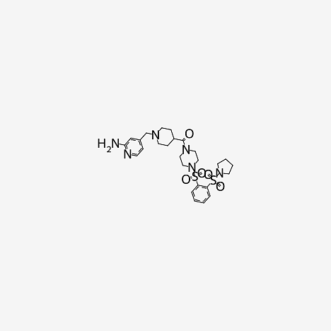 Nc1cc(CN2CCC(C(=O)N3CCN(S(=O)(=O)c4ccccc4S(=O)(=O)N4CCCC4)CC3)CC2)ccn1